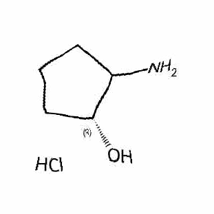 Cl.NC1CCC[C@H]1O